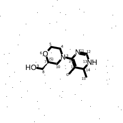 CC1=C(N2CCO[C@H](CO)C2)N=CNC1C